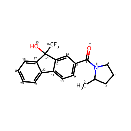 CC1CCCN1C(=O)c1ccc2c(c1)C(O)(C(F)(F)F)c1ccccc1-2